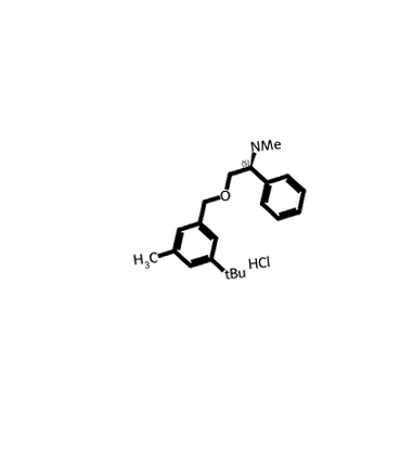 CN[C@H](COCc1cc(C)cc(C(C)(C)C)c1)c1ccccc1.Cl